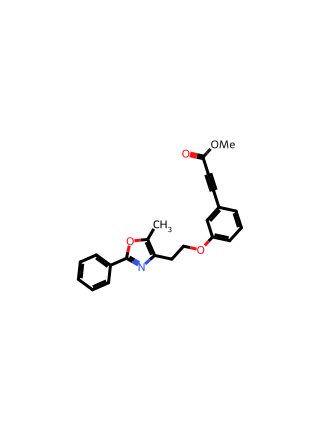 COC(=O)C#Cc1cccc(OCCc2nc(-c3ccccc3)oc2C)c1